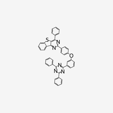 c1ccc(-c2nc(-c3ccccc3)nc(-c3cccc(Oc4ccc(-c5nc(-c6ccccc6)c6sc7ccccc7c6n5)cc4)c3)n2)cc1